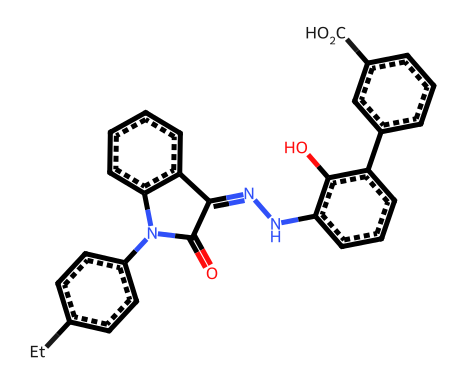 CCc1ccc(N2C(=O)/C(=N\Nc3cccc(-c4cccc(C(=O)O)c4)c3O)c3ccccc32)cc1